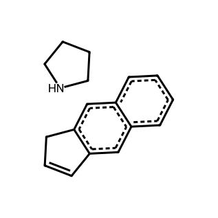 C1=Cc2cc3ccccc3cc2C1.C1CCNC1